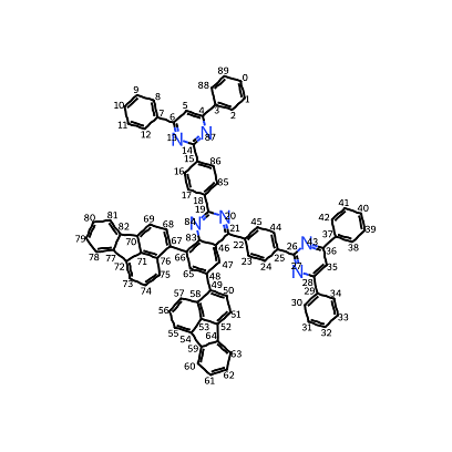 c1ccc(-c2cc(-c3ccccc3)nc(-c3ccc(-c4nc(-c5ccc(-c6nc(-c7ccccc7)cc(-c7ccccc7)n6)cc5)c5cc(-c6ccc7c8c(cccc68)-c6ccccc6-7)cc(-c6ccc7c8c(cccc68)-c6ccccc6-7)c5n4)cc3)n2)cc1